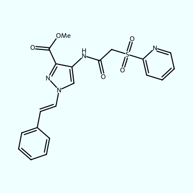 COC(=O)c1nn(C=Cc2ccccc2)cc1NC(=O)CS(=O)(=O)c1ccccn1